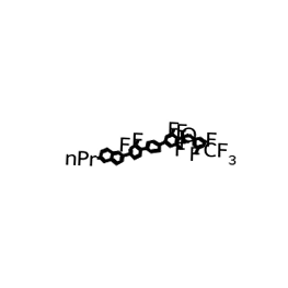 CCCc1ccc2cc(-c3ccc(-c4ccc(-c5cc(F)c(C(F)(F)Oc6cc(F)c(C(F)(F)F)c(F)c6)c(F)c5)cc4)c(F)c3F)ccc2c1